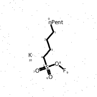 CCCCCCCCCS(=O)(=O)OF.[K]